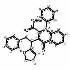 COC(=O)c1c(C(Cc2ccccc2)C2=COCO2)c(=O)c2ccccc2n1-c1ccccc1